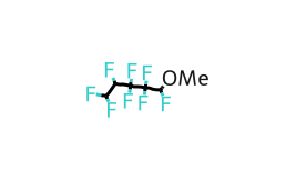 COC(F)C(F)(F)C(F)(F)C(F)C(F)F